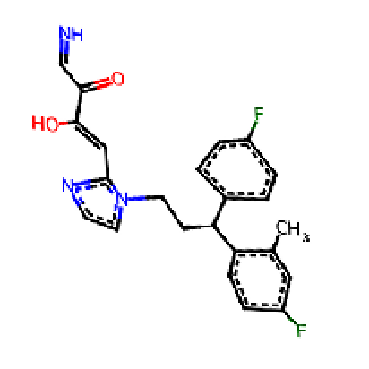 Cc1cc(F)ccc1[C@@H](CCn1ccnc1/C=C(\O)C(=O)C=N)c1ccc(F)cc1